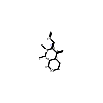 C=N/C=C(/C(=C)C1CCOCC1)N(C)CC